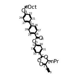 C#CC(=O)C(CCC)OC(=O)c1ccc(OC(=O)c2ccc(-c3ccc(OCCCCCCCC)cc3)cc2)cc1